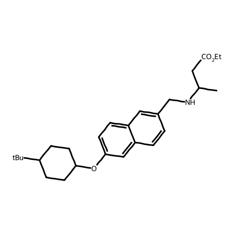 CCOC(=O)CC(C)NCc1ccc2cc(OC3CCC(C(C)(C)C)CC3)ccc2c1